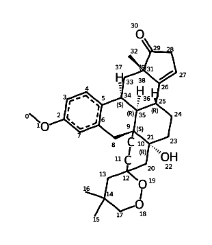 COc1ccc2c(c1)C[C@]13CCC4(CC(C)(C)COO4)C[C@]1(O)CC[C@H]1C4=CCC(=O)[C@@]4(C)C[C@H]2[C@@H]13